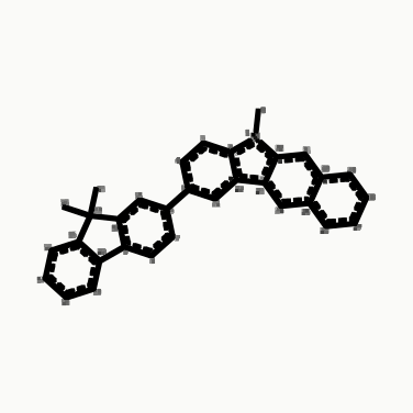 Cn1c2ccc(-c3ccc4c(c3)C(C)(C)c3ccccc3-4)cc2c2cc3ccccc3cc21